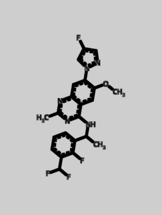 COc1cc2c(NC(C)c3cccc(C(F)F)c3F)nc(C)nc2cc1-n1cc(F)cn1